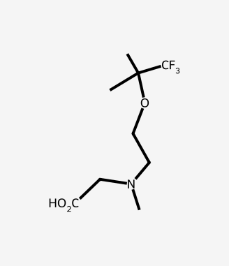 CN(CCOC(C)(C)C(F)(F)F)CC(=O)O